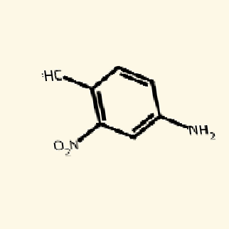 [CH]c1ccc(N)cc1[N+](=O)[O-]